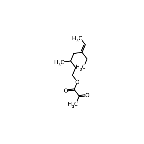 CC=C(CC)CC(C)CCOC(=O)C(C)=O